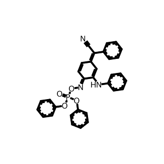 N#C/C(=C1C=C/C(=N\OP(=O)(Oc2ccccc2)Oc2ccccc2)C(Nc2ccccc2)=C\1)c1ccccc1